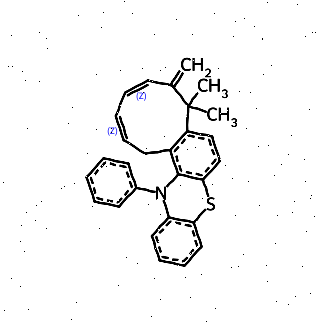 C=C1/C=C\C=C/Cc2c(ccc3c2N(c2ccccc2)c2ccccc2S3)C1(C)C